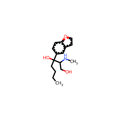 CCCCC(O)(c1ccc2occc2c1)C(CO)NC